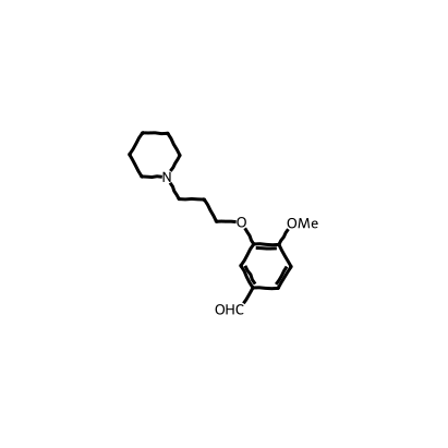 COc1ccc(C=O)cc1OCCCN1CCCCC1